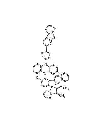 C=C1/C(=C\C)C2(c3ccccc31)c1ccccc1-c1c2ccc2c1Oc1c(cccc1N(c1ccc(-c3ccccc3)cc1)c1ccc(-c3ccc4c(c3)sc3ccccc34)cc1)O2